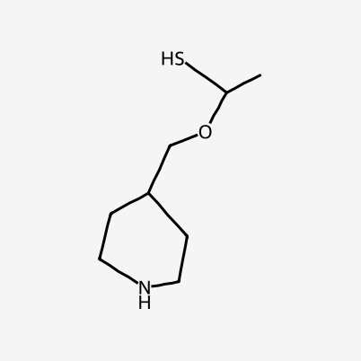 CC(S)OCC1CCNCC1